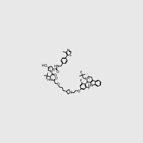 Cc1ncsc1-c1ccc(CNC(=O)[C@@H]2C[C@@H](O)CN2C(=O)C(NC(=O)COCCCC2CN(CCOc3cc(F)c([C@@H]4c5[nH]c6ccccc6c5C[C@@H](C)N4CC(C)(C)F)c(F)c3)C2)C(C)(C)C)cc1